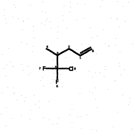 C=CCC(C)C(F)(F)Cl